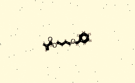 C=C(C)C(=O)OCCCCOCc1ccccc1